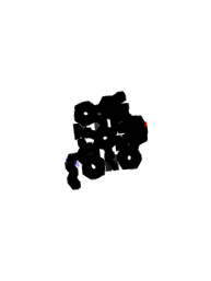 C#C/C=C\c1c(C)c2ccccc2n1-c1c(-n2c3ccccc3c3ccccc32)c(C#N)c(-n2c(C)c(/C=C\CC=C)c3ccccc32)c(C#N)c1-n1c2ccccc2c2ccccc21